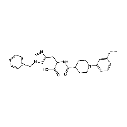 CCc1cccc(N2CCC(C(=O)NC(Cc3cn(Cc4ccccc4)cn3)C(=O)O)CC2)c1